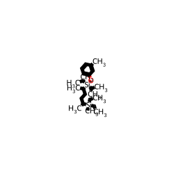 CC[Si](C)(CC)C(C)CCC(C)[Si](Oc1cccc(C)c1)(C(C)C)C(C)C